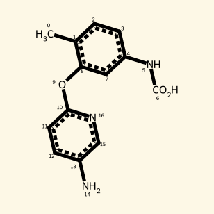 Cc1ccc(NC(=O)O)cc1Oc1ccc(N)cn1